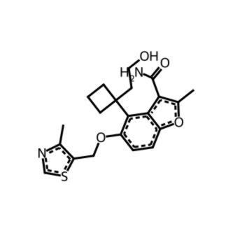 Cc1ncsc1COc1ccc2oc(C)c(C(N)=O)c2c1C1(CCO)CCC1